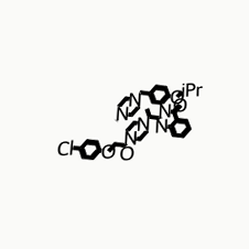 CC(C)Oc1ccc(CN2CCN(C)CC2)cc1-n1c(C(C)N2CCN(C(=O)COc3ccc(Cl)cc3)CC2)nc2ccccc2c1=O